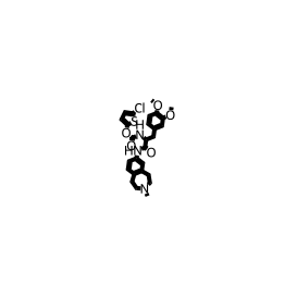 COc1ccc(CC(NC(=O)Oc2ccc(Cl)s2)C(=O)Nc2ccc3c(c2)CCN(C)CC3)cc1OC